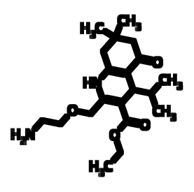 CCOC(=O)C1=C(COCCN)NC2=C(C(=O)CC(C)(C)C2)C1C(C)C